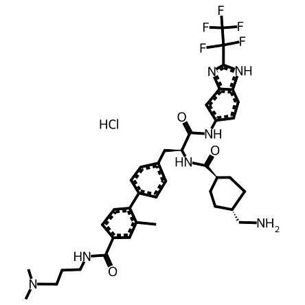 Cc1cc(C(=O)NCCCN(C)C)ccc1-c1ccc(C[C@H](NC(=O)[C@H]2CC[C@H](CN)CC2)C(=O)Nc2ccc3[nH]c(C(F)(F)C(F)(F)F)nc3c2)cc1.Cl